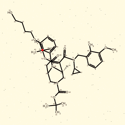 COc1cccc(CN(C(=O)C2=C(c3cccc(OCCCCO)c3)CC3CN(C(=O)OC(C)(C)C)C[C@H]2N3C(=O)OC(C)(C)C)C2CC2)c1C